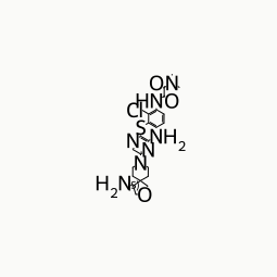 CN(C)C(=O)C(=O)Nc1cccc(Sc2ncc(N3CCC4(CC3)COC[C@H]4N)nc2N)c1Cl